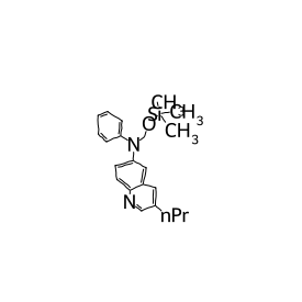 CCCc1cnc2ccc(N(CO[Si](C)(C)C)c3ccccc3)cc2c1